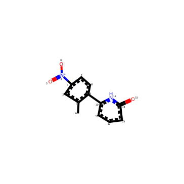 Cc1cc([N+](=O)[O-])ccc1-c1cc[c]c(=O)[nH]1